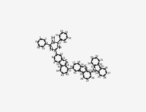 c1ccc(C2=NC(c3ccc4c(c3)sc3c(-c5ccc6sc7c(-n8c9ccccc9c9ccccc98)cccc7c6c5)cccc34)=NC(c3ccccc3)N2)cc1